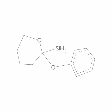 [SiH3]C1(Oc2ccccc2)CCCCO1